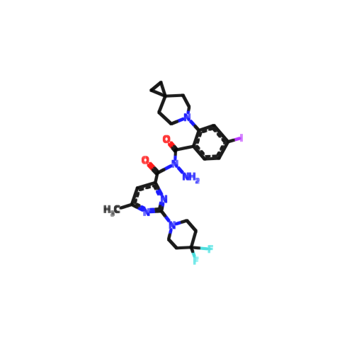 Cc1cc(C(=O)N(N)C(=O)c2ccc(I)cc2N2CCC3(CC2)CC3)nc(N2CCC(F)(F)CC2)n1